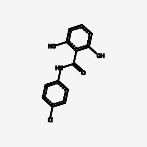 O=C(Nc1ccc(Cl)cc1)c1c(O)cccc1O